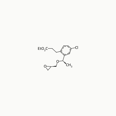 CCOC(=O)CCc1ccc(Cl)cc1[C@@H](C)OC[C@H]1CO1